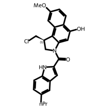 CCCc1ccc2[nH]c(C(=O)N3C[C@@H](CCl)c4c3cc(O)c3ccc(OC)cc43)cc2c1